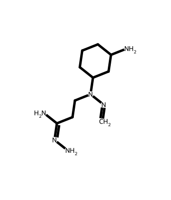 C=NN(CC/C(N)=N\N)C1CCCC(N)C1